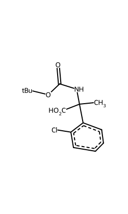 CC(C)(C)OC(=O)NC(C)(C(=O)O)c1ccccc1Cl